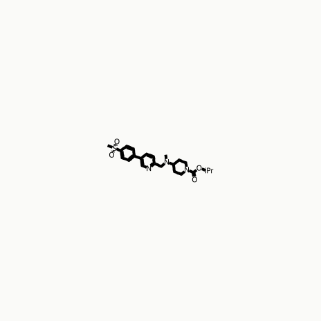 CC(C)OC(=O)N1CCC(N(C)Cc2ccc(-c3ccc(S(C)(=O)=O)cc3)cn2)CC1